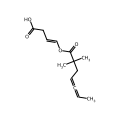 CC=C=CCC(C)(C)C(=O)OC=CCC(=O)O